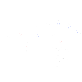 CCOC(=O)N1CCC(N=[N+]=[N-])C(O[Si](C)(C)C(C)(C)C)C1